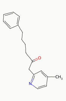 Cc1ccnc(CC(=O)CCCCc2ccccc2)c1